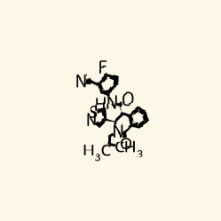 CC(C)CN1C(=O)c2ccccc2[C@@H](C(=O)Nc2ccc(F)c(C#N)c2)[C@@H]1c1cnsc1